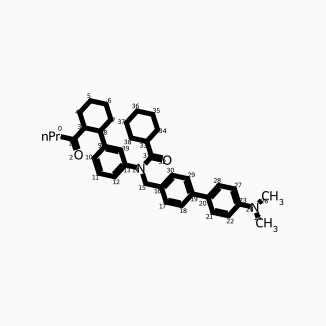 CCCC(=O)C1CCCCC1c1cccc(N(Cc2ccc(-c3ccc(N(C)C)cc3)cc2)C(=O)C2CCCCC2)c1